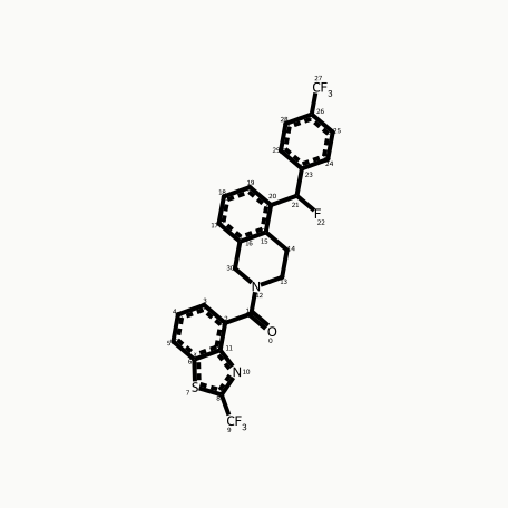 O=C(c1cccc2sc(C(F)(F)F)nc12)N1CCc2c(cccc2C(F)c2ccc(C(F)(F)F)cc2)C1